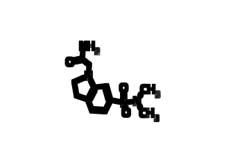 CN(C)S(=O)(=O)c1ccc2c(c1)N(CC(N)=O)CC2